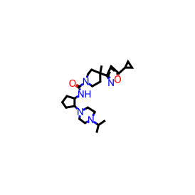 CC(C)N1CCN(C2CCCC2NC(=O)N2CCC(C)(c3cc(C4CC4)on3)CC2)CC1